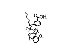 CCCCCN(C(=O)n1nnn(-c2c(F)cccc2OC)c1=O)c1cccc(C(=O)O)c1